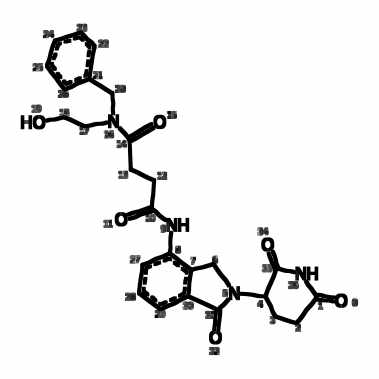 O=C1CCC(N2Cc3c(NC(=O)CCC(=O)N(CCO)Cc4ccccc4)cccc3C2=O)C(=O)N1